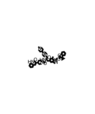 Cc1cc(CC(NC(=O)N2CCC(c3cc4ccccc4[nH]c3=O)CC2)C(=O)N2CCN(C3CCN(C)CC3)CC2)cc2cnn(COC(=O)C3(c4ccccc4)CC3)c12